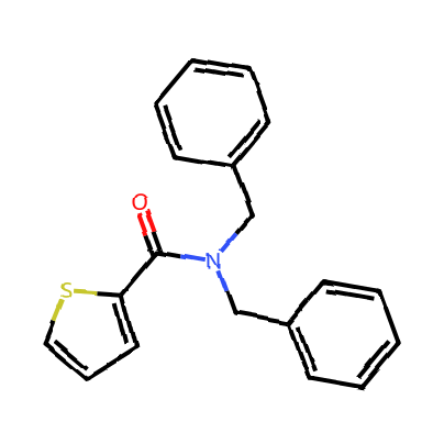 O=C(c1cccs1)N(Cc1ccccc1)Cc1ccccc1